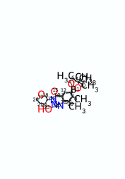 Cc1c(B2OC(C)(C)C(C)(C)O2)cc2c(=O)n(C3COCCC3O)nnc2c1C